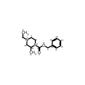 CCN1CCN(C(=O)OCc2ccccc2)C(C)C1